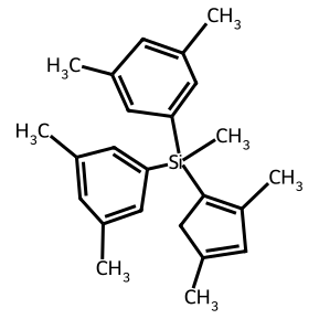 CC1=CC(C)=C([Si](C)(c2cc(C)cc(C)c2)c2cc(C)cc(C)c2)C1